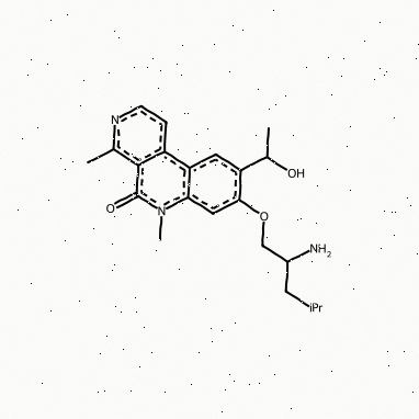 Cc1nccc2c1c(=O)n(C)c1cc(OCC(N)CC(C)C)c(C(C)O)cc21